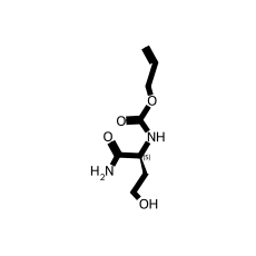 C=CCOC(=O)N[C@@H](CCO)C(N)=O